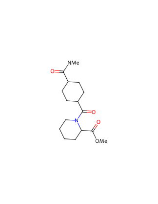 CNC(=O)C1CCC(C(=O)N2CCCCC2C(=O)OC)CC1